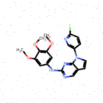 COc1cc(Nc2ncc3ccn(-c4ccc(F)nc4)c3n2)cc(OC)c1OC